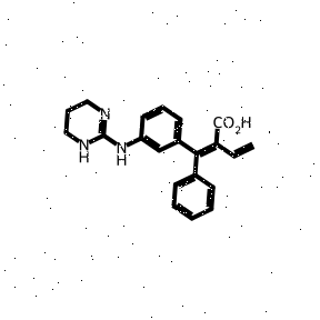 C=CC(C(=O)O)=C(c1ccccc1)c1cccc(NC2=NCCCN2)c1